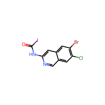 O=C(I)Nc1cc2cc(Br)c(Cl)cc2cn1